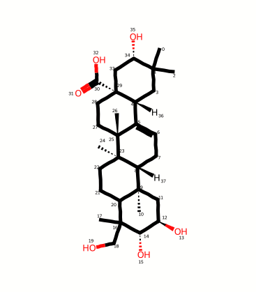 CC1(C)C[C@@H]2C3=CC[C@@H]4[C@@]5(C)C[C@@H](O)[C@H](O)C(C)(CO)C5CC[C@@]4(C)[C@]3(C)CC[C@@]2(C(=O)O)C[C@@H]1O